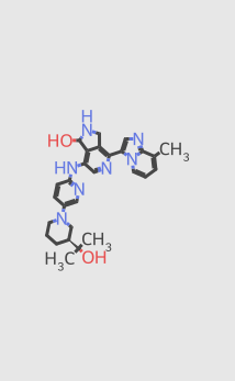 Cc1cccn2c(-c3ncc(Nc4ccc(N5CCC[C@H](C(C)(C)O)C5)cn4)c4c3CNC4O)cnc12